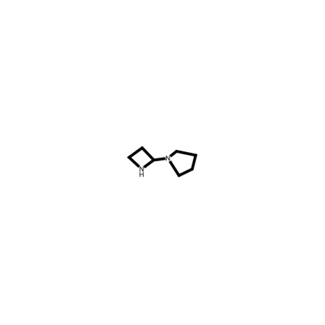 C1CCN(C2CCN2)C1